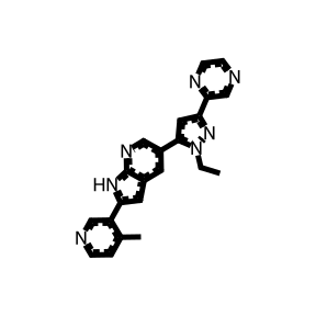 CCn1nc(-c2cnccn2)cc1-c1cnc2[nH]c(-c3cnccc3C)cc2c1